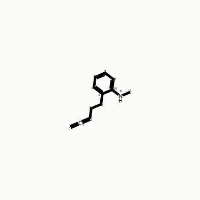 C=C=CCCc1ccccc1NC